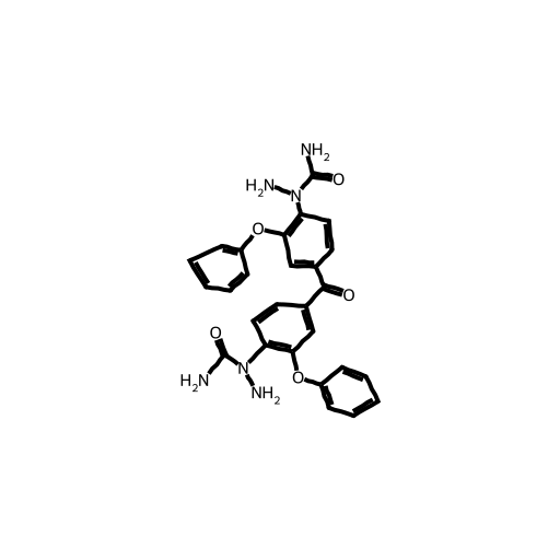 NC(=O)N(N)c1ccc(C(=O)c2ccc(N(N)C(N)=O)c(Oc3ccccc3)c2)cc1Oc1ccccc1